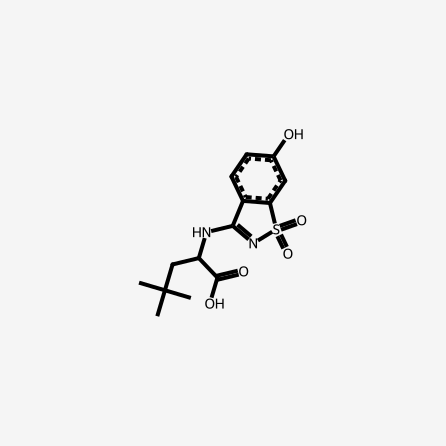 CC(C)(C)CC(NC1=NS(=O)(=O)c2cc(O)ccc21)C(=O)O